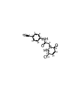 N#Cc1ccc(NC(=O)CN2NC(Cl)C=CC2=O)cc1